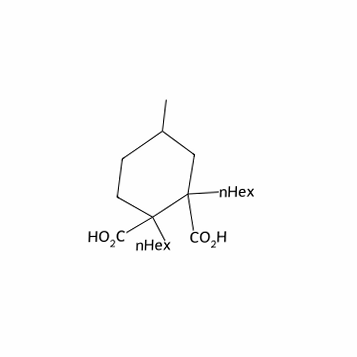 CCCCCCC1(C(=O)O)CCC(C)CC1(CCCCCC)C(=O)O